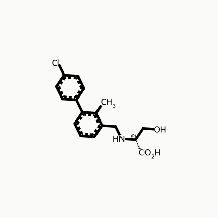 Cc1c(CN[C@H](CO)C(=O)O)cccc1-c1ccc(Cl)cc1